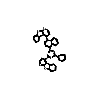 c1ccc(-c2nc(-c3ccc(-c4ccnc5oc6ccccc6c45)c4ccccc34)nc(-c3ccnc4oc5ccccc5c34)n2)cc1